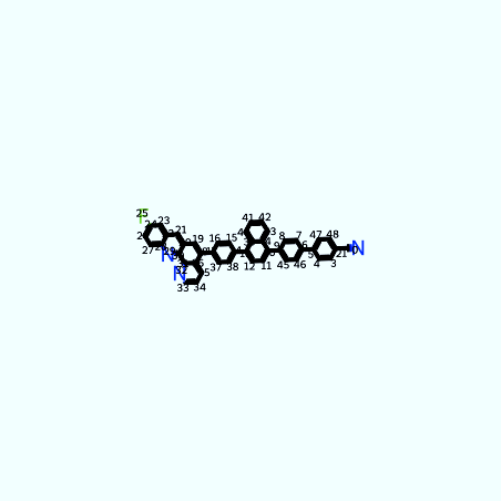 N#Cc1ccc(-c2ccc(-c3ccc(-c4ccc(-c5cc6cc7cc(F)ccc7nc6c6ncccc56)cc4)c4ccccc34)cc2)cc1